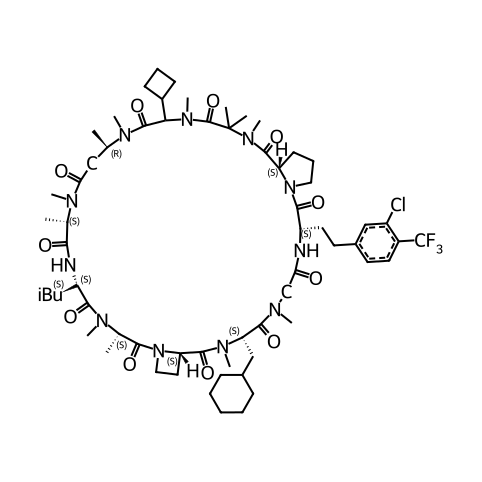 CC[C@H](C)[C@@H]1NC(=O)[C@H](C)N(C)C(=O)C[C@@H](C)N(C)C(=O)C(C2CCC2)N(C)C(=O)C(C)(C)N(C)C(=O)[C@@H]2CCCN2C(=O)[C@H](CCc2ccc(C(F)(F)F)c(Cl)c2)NC(=O)CN(C)C(=O)[C@H](CC2CCCCC2)N(C)C(=O)[C@@H]2CCN2C(=O)[C@H](C)N(C)C1=O